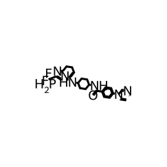 C=CN(/C=N\C)c1ccc(C(=O)NC2CCC(NC3=CCCc4nc(C(F)(F)P)cn43)CC2)cc1